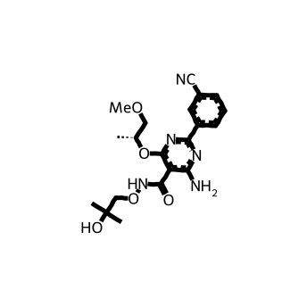 COC[C@@H](C)Oc1nc(-c2cccc(C#N)c2)nc(N)c1C(=O)NOCC(C)(C)O